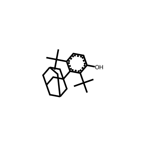 CC(C)(C)c1ccc(O)c(C(C)(C)C)c1C12CC3CC(CC(C3)C1)C2